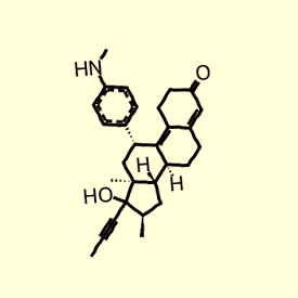 CC#CC1(O)[C@H](C)C[C@H]2[C@@H]3CCC4=CC(=O)CCC4=C3[C@@H](c3ccc(NC)cc3)C[C@@]21C